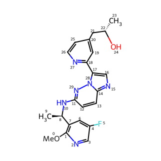 COc1ncc(F)cc1[C@@H](C)Nc1ccc2ncc(-c3cc(C[C@H](C)O)ccn3)n2n1